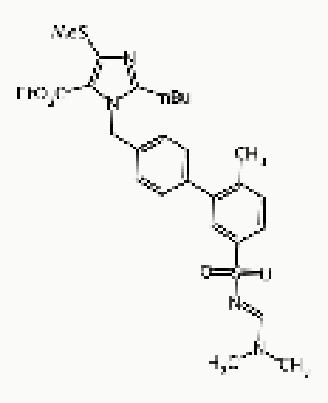 CCCCc1nc(SC)c(C(=O)OCC)n1Cc1ccc(-c2cc(S(=O)(=O)N=CN(C)C)ccc2C)cc1